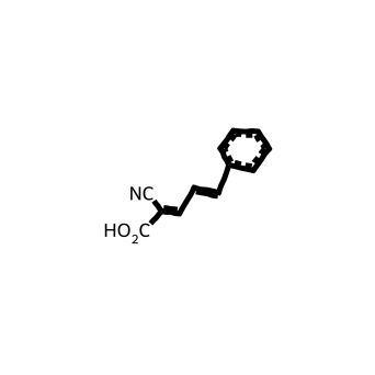 N#C/C(=C\C=C\c1ccccc1)C(=O)O